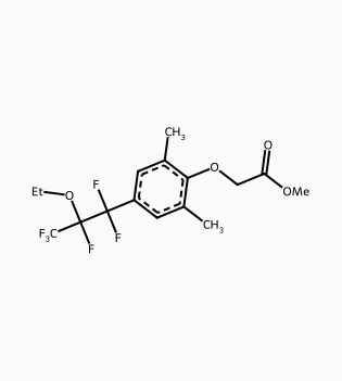 CCOC(F)(C(F)(F)F)C(F)(F)c1cc(C)c(OCC(=O)OC)c(C)c1